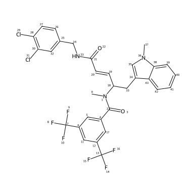 CN(C(=O)c1cc(C(F)(F)F)cc(C(F)(F)F)c1)C(C=CC(=O)NCc1ccc(Cl)c(Cl)c1)Cc1cn(C)c2ccccc12